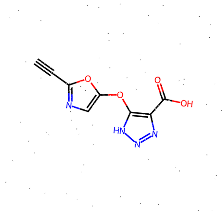 C#Cc1ncc(Oc2[nH]nnc2C(=O)O)o1